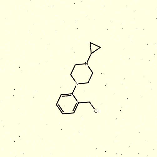 OCc1c[c]ccc1N1CCN(C2CC2)CC1